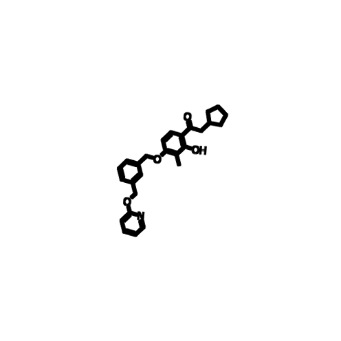 Cc1c(OCc2cccc(COc3ccccn3)c2)ccc(C(=O)CC2CCCC2)c1O